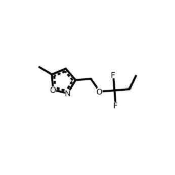 CCC(F)(F)OCc1cc(C)on1